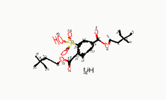 CC(C)(C)CCOC(=O)c1ccc(C(=O)OCCC(C)(C)C)c(S(=O)(=O)O)c1.[LiH]